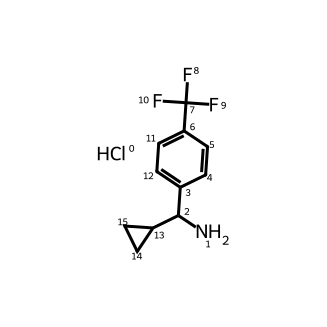 Cl.NC(c1ccc(C(F)(F)F)cc1)C1CC1